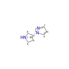 c1cnn([C@@H]2CCNC2)c1